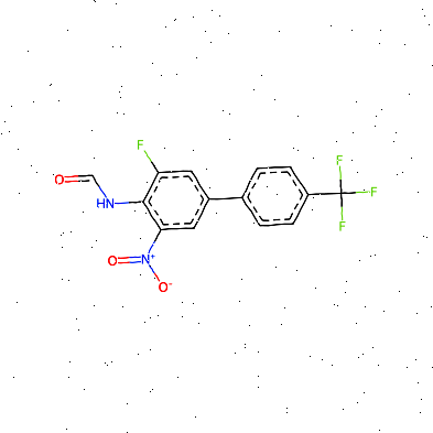 O=CNc1c(F)cc(-c2ccc(C(F)(F)F)cc2)cc1[N+](=O)[O-]